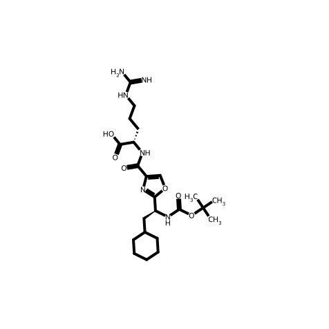 CC(C)(C)OC(=O)N[C@@H](CC1CCCCC1)c1nc(C(=O)N[C@@H](CCCNC(=N)N)C(=O)O)co1